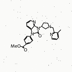 COC(=O)c1ccc(-n2c(=O)n([C@H]3CCN(Cc4ncccc4C)C3)c3ncccc32)cc1